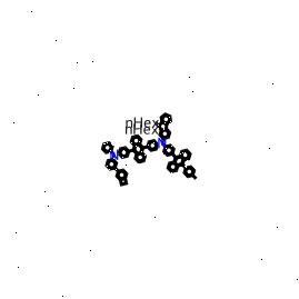 CCCCCCC1(CCCCCC)c2ccccc2-c2ccc(N(c3ccc(-c4c5ccccc5c(-c5ccc(C)cc5)c5ccccc45)cc3)c3ccc(-c4c5ccccc5c(-c5ccc(N(c6ccccc6)c6cccc(-c7ccc8c(c7)CC8)c6)cc5)c5ccccc45)cc3)cc21